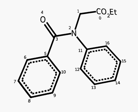 CCOC(=O)CN(C(=O)c1ccccc1)c1ccccc1